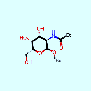 CCC(=O)N[C@H]1C(OC(C)(C)C)O[C@H](CO)[C@H](O)[C@@H]1O